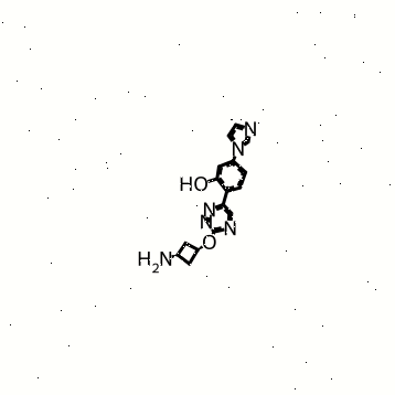 N[C@H]1C[C@@H](Oc2ncc(-c3ccc(-n4ccnc4)cc3O)nn2)C1